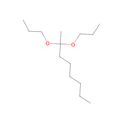 CCCCCCC(C)(OCCC)OCCC